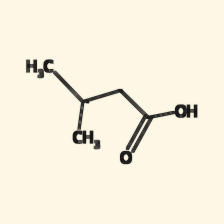 C[C](C)CC(=O)O